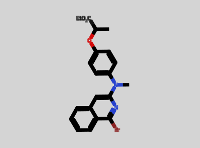 CCOC(=O)C(C)Oc1ccc(N(C)c2cc3ccccc3c(Br)n2)cc1